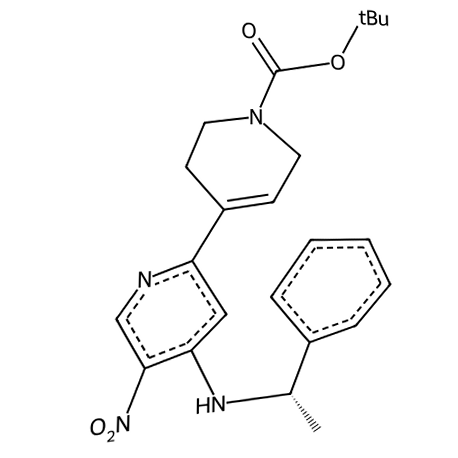 C[C@H](Nc1cc(C2=CCN(C(=O)OC(C)(C)C)CC2)ncc1[N+](=O)[O-])c1ccccc1